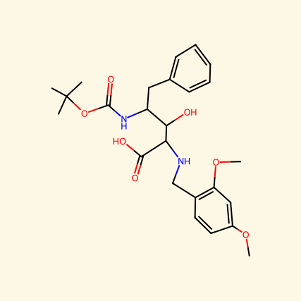 COc1ccc(CNC(C(=O)O)C(O)C(Cc2ccccc2)NC(=O)OC(C)(C)C)c(OC)c1